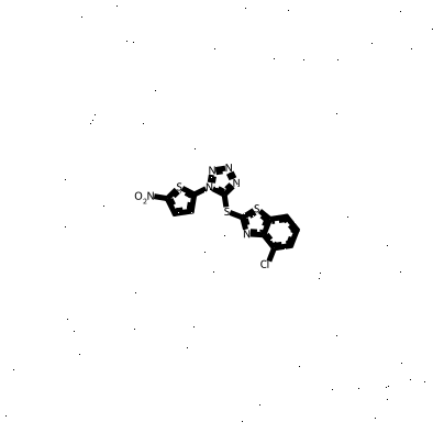 O=[N+]([O-])c1ccc(-n2nnnc2Sc2nc3c(Cl)cccc3s2)s1